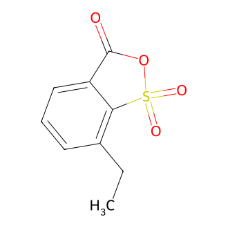 CCc1cccc2c1S(=O)(=O)OC2=O